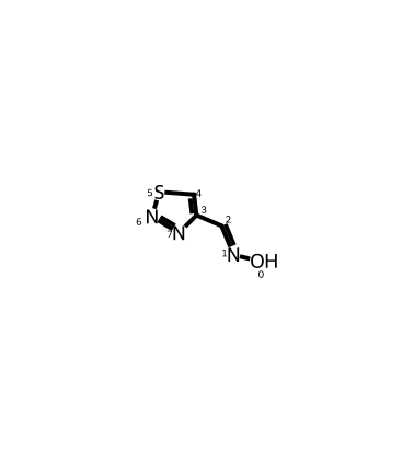 O/N=C/c1csnn1